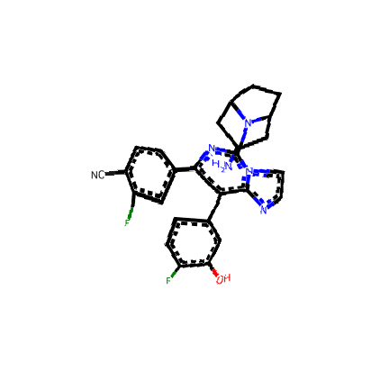 N#Cc1ccc(-c2nc(N3C4CCC3CC(N)C4)n3ccnc3c2-c2ccc(F)c(O)c2)cc1F